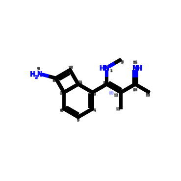 CN/C(C1=CC=CC2C(N)=CC12)=C(/C)C(C)=N